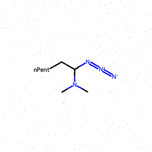 CCCCCCC(N=[N+]=[N-])N(C)C